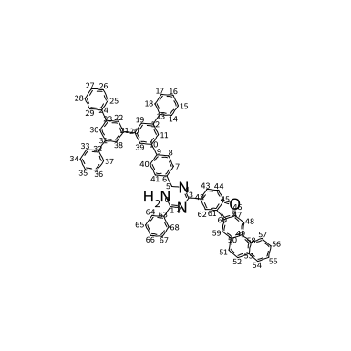 N/C(=N\C(=N/Cc1ccc(-c2cc(-c3ccccc3)cc(-c3cc(-c4ccccc4)cc(-c4ccccc4)c3)c2)cc1)c1ccc2oc3cc4c(ccc5ccccc54)cc3c2c1)c1ccccc1